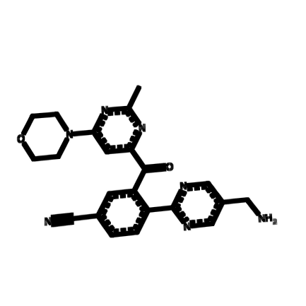 Cc1nc(C(=O)c2cc(C#N)ccc2-c2ncc(CN)cn2)cc(N2CCOCC2)n1